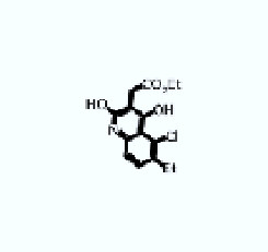 CCOC(=O)Cc1c(O)nc2ccc(CC)c(Cl)c2c1O